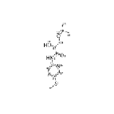 CSc1ccc(NC(=O)C(O)COC(C)C)nc1